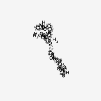 Cc1c(OCCCC[C@H]2CCCN(CC(=O)N3CCN(c4cc5c(cc4F)C(=O)N(C4CCC(=O)NC4=O)C5=O)CC3)C2)cccc1-c1ccc(N2CCc3cccc(C(=O)Nc4nc5ccccc5s4)c3C2)nc1C(=O)OC(C)(C)C